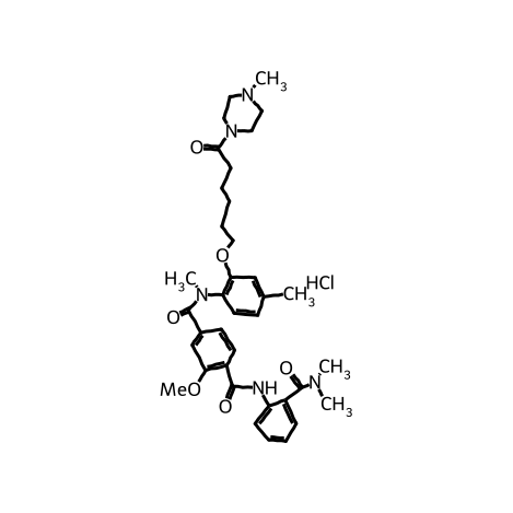 COc1cc(C(=O)N(C)c2ccc(C)cc2OCCCCCC(=O)N2CCN(C)CC2)ccc1C(=O)Nc1ccccc1C(=O)N(C)C.Cl